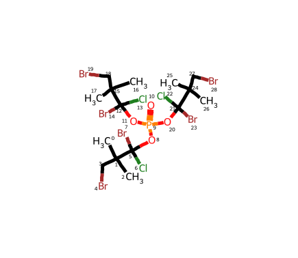 CC(C)(CBr)C(Cl)(Br)OP(=O)(OC(Cl)(Br)C(C)(C)CBr)OC(Cl)(Br)C(C)(C)CBr